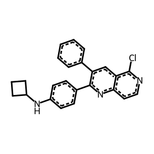 Clc1nccc2nc(-c3ccc(NC4CCC4)cc3)c(-c3ccccc3)cc12